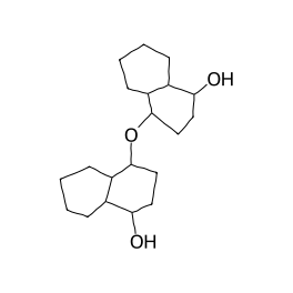 OC1CCC(OC2CCC(O)C3CCCCC23)C2CCCCC12